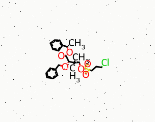 CC(OC(=O)[C@H](OCc1ccccc1)C(C)(C)COS(=O)(=O)CCCCl)c1ccccc1